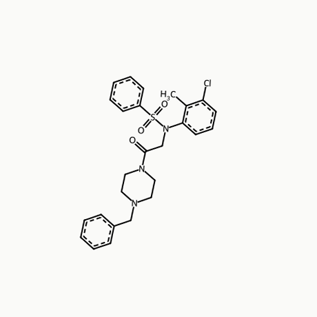 Cc1c(Cl)cccc1N(CC(=O)N1CCN(Cc2ccccc2)CC1)S(=O)(=O)c1ccccc1